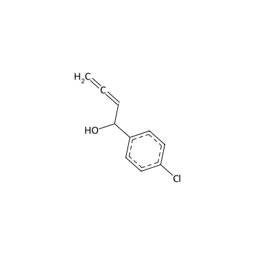 C=C=CC(O)c1ccc(Cl)cc1